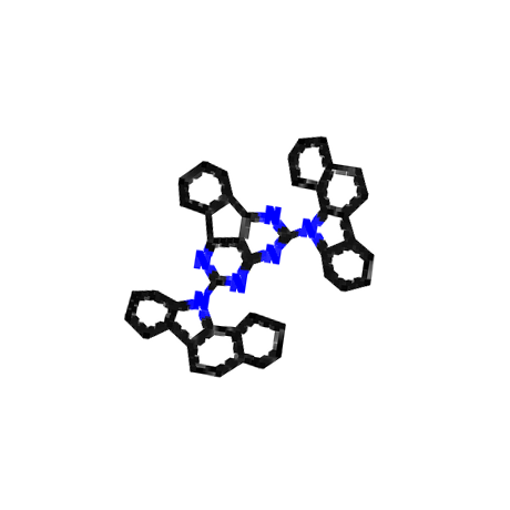 c1ccc2c(c1)-c1nc(-n3c4ccccc4c4ccc5ccccc5c43)nc3nc(-n4c5ccccc5c5ccc6ccccc6c54)nc-2c13